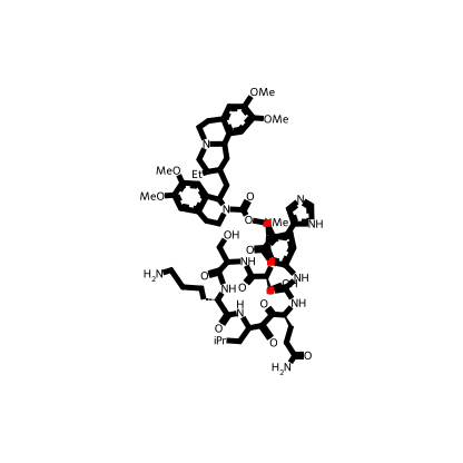 CCC1CN2CCc3cc(OC)c(OC)cc3C2CC1CC1c2cc(OC)c(OC)cc2CCN1C(=O)OCc1ccc(NC(=O)N[C@@H](CCC(N)=O)C(=O)C(=O)C(CC(C)C)NC(=O)[C@H](CCCCN)NC(=O)C(CO)NC(=O)[C@H](CO)NC(=O)C(Cc2cnc[nH]2)NC)cc1